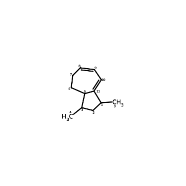 CC1CC(C)C2CCC=CC=C12